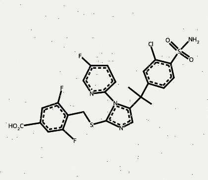 CC(C)(c1ccc(S(N)(=O)=O)c(Cl)c1)c1cnc(SCc2c(F)cc(C(=O)O)cc2F)n1-c1ccc(F)cn1